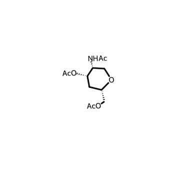 CC(=O)N[C@@H]1CO[C@H](COC(C)=O)C[C@@H]1OC(C)=O